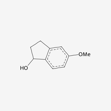 COc1ccc2c(c1)CCC2O